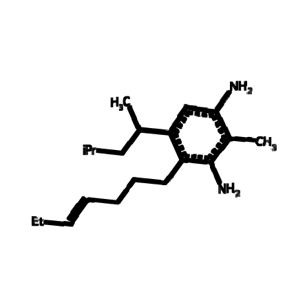 CCC=CCCCc1c(C(C)CC(C)C)cc(N)c(C)c1N